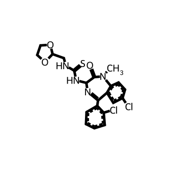 CN1C(=O)C(NC(=S)NCC2OCCO2)N=C(c2ccccc2Cl)c2cc(Cl)ccc21